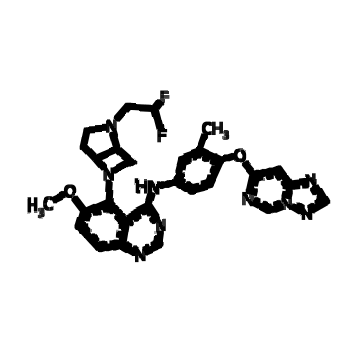 COc1ccc2ncnc(Nc3ccc(Oc4cc5ncnn5cn4)c(C)c3)c2c1N1CC2C1CCN2CC(F)F